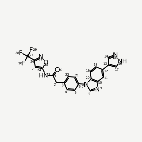 O=C(Cc1ccc(-n2cnc3cc(-c4cn[nH]c4)ccc32)cc1)Nc1cc(C(F)(F)F)no1